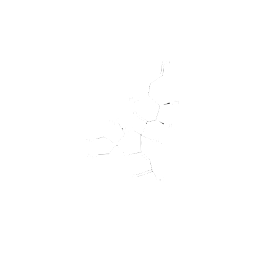 C=CC[C@@H](C)[C@@H](O)[C@@H](C)C(=O)C(C)(C)C(=CC(=O)O)O[Si](CC)(CC)CC